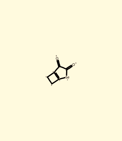 O=C1[Se]C2=C(CC2)C1=O